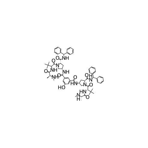 CN[C@@H](C)C(=O)N[C@H](C(=O)N1C[C@@H](NC(=O)c2cc(O)cc(C(=O)N[C@H]3C[C@@H](C(=O)NC(c4ccccc4)c4ccccc4)N(C(=O)[C@@H](NC(=O)[C@H](C)NC)C(C)(C)C)C3)c2)C[C@H]1C(=O)NC(c1ccccc1)c1ccccc1)C(C)(C)C